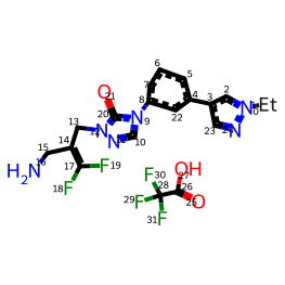 CCn1cc(-c2cccc(-n3cnn(CC(CN)=C(F)F)c3=O)c2)cn1.O=C(O)C(F)(F)F